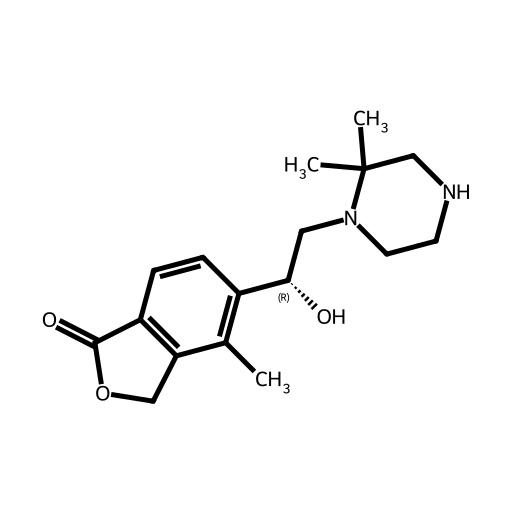 Cc1c([C@@H](O)CN2CCNCC2(C)C)ccc2c1COC2=O